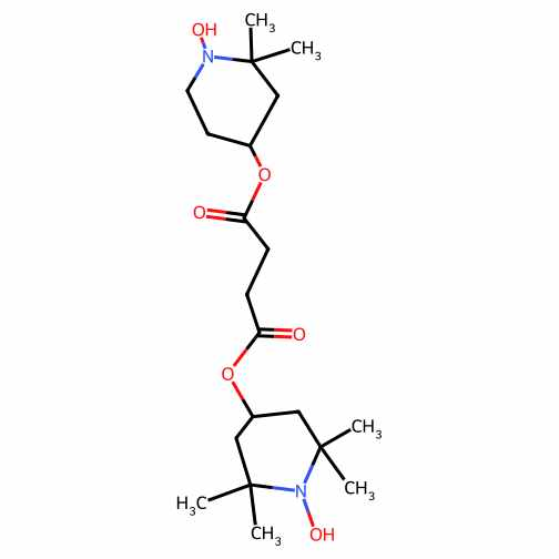 CC1(C)CC(OC(=O)CCC(=O)OC2CC(C)(C)N(O)C(C)(C)C2)CCN1O